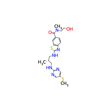 CSc1cnc(NC[C@H](C)CNc2nc3ccc(C(=O)N(C)CCO)cc3s2)nc1